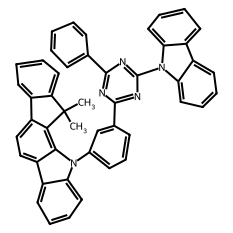 CC1(C)c2ccccc2-c2ccc3c4ccccc4n(-c4cccc(-c5nc(-c6ccccc6)nc(-n6c7ccccc7c7ccccc76)n5)c4)c3c21